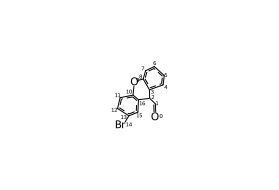 O=CC1c2ccccc2Oc2ccc(Br)cc21